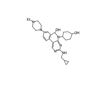 CCN1CCN(c2ccc3c(c2)C(O)N(C2CCC(O)CC2)c2nc(NCC4CC4)ncc2-3)CC1